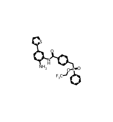 Nc1ccc(-c2cccs2)cc1NC(=O)c1ccc(CP(=O)(OCC(F)(F)F)c2ccccc2)cc1